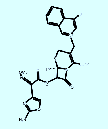 CO/N=C(\C(=O)NC1C(=O)N2C(C(=O)[O-])=C(C[n+]3cc(O)c4ccccc4c3)CS[C@H]12)c1coc(N)n1